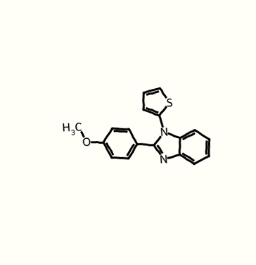 COc1ccc(-c2nc3ccccc3n2-c2cccs2)cc1